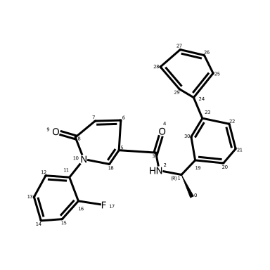 C[C@@H](NC(=O)c1ccc(=O)n(-c2ccccc2F)c1)c1cccc(-c2ccccc2)c1